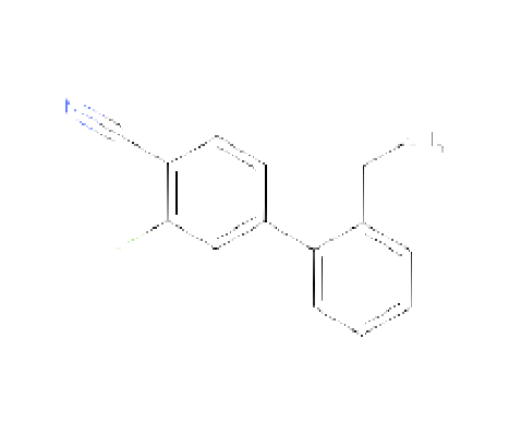 CCc1ccccc1-c1ccc(C#N)c(F)c1